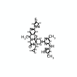 Cc1cc(Nc2cc(C)[nH]n2)nc(N2CCC3(CC2)C(=O)N(C(C)c2ccc(-n4cc(F)cn4)nc2)CC(=O)N3CC2CC2)n1